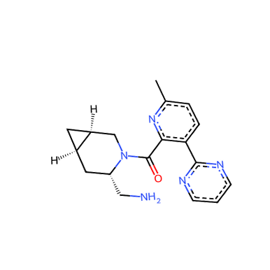 Cc1ccc(-c2ncccn2)c(C(=O)N2C[C@@H]3C[C@@H]3C[C@H]2CN)n1